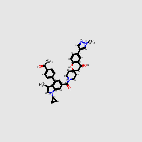 COC(=O)c1ccc(-c2cc(C(=O)N3CCC4(CC3)CC(=O)c3cc(-c5cnn(C)c5)ccc3O4)cc3c2c(C)cn3C2CC2)cc1